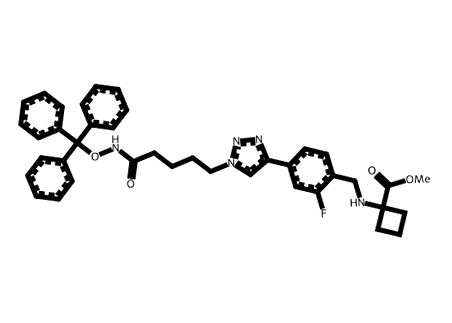 COC(=O)C1(NCc2ccc(-c3cn(CCCCC(=O)NOC(c4ccccc4)(c4ccccc4)c4ccccc4)nn3)cc2F)CCC1